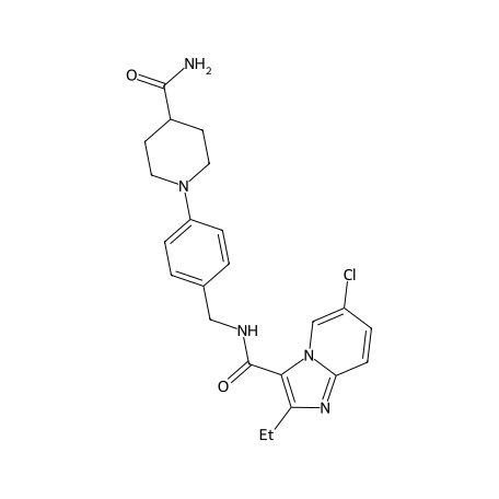 CCc1nc2ccc(Cl)cn2c1C(=O)NCc1ccc(N2CCC(C(N)=O)CC2)cc1